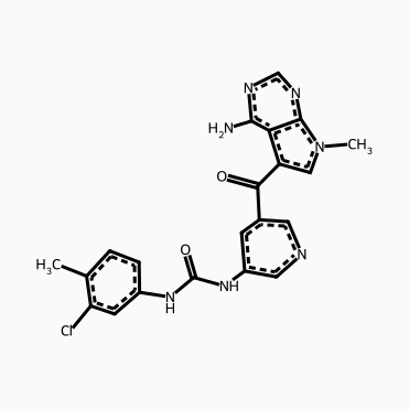 Cc1ccc(NC(=O)Nc2cncc(C(=O)c3cn(C)c4ncnc(N)c34)c2)cc1Cl